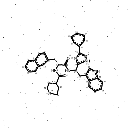 O=C(N[C@H](Cc1ccc2ccccc2c1)C(=O)N[C@H](Cc1c[nH]c2ccccc12)c1nc(-c2ccccc2)c[nH]1)C1CCNCC1